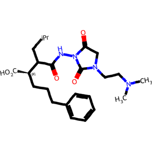 CC(C)CC(C(=O)NN1C(=O)CN(CCN(C)C)C1=O)[C@@H](CCCc1ccccc1)C(=O)O